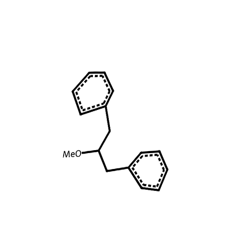 COC(Cc1ccccc1)Cc1ccccc1